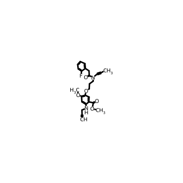 C#CCNc1cc(OC)c(OCCCN(C#CC)C(=O)Cc2ccccc2F)cc1C(=O)OC